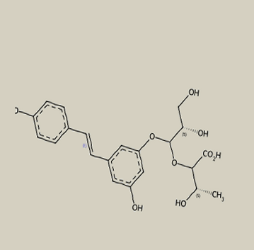 C[C@H](O)C(OC(Oc1cc(O)cc(/C=C/c2ccc(O)cc2)c1)[C@@H](O)CO)C(=O)O